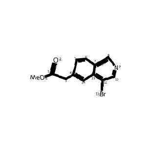 COC(=O)Cc1ccc2cncc(Br)c2c1